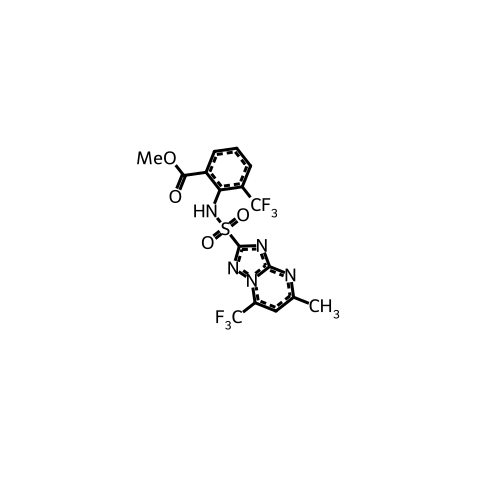 COC(=O)c1cccc(C(F)(F)F)c1NS(=O)(=O)c1nc2nc(C)cc(C(F)(F)F)n2n1